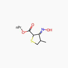 CCCOC(=O)C1SCC(C)C1=NO